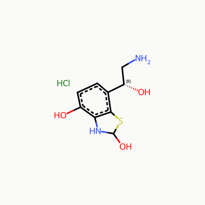 Cl.NC[C@H](O)c1ccc(O)c2c1SC(O)N2